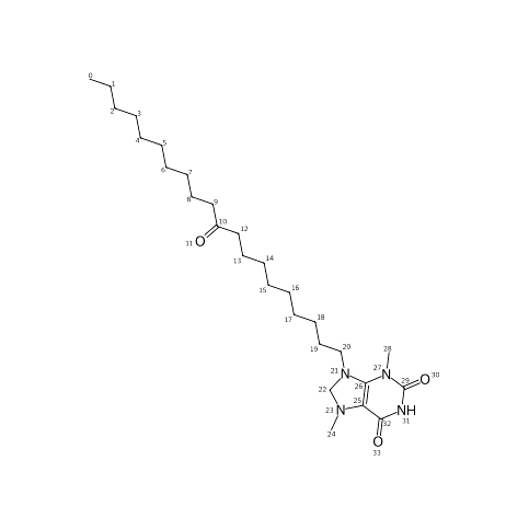 CCCCCCCCCCC(=O)CCCCCCCCCN1CN(C)c2c1n(C)c(=O)[nH]c2=O